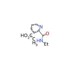 CC(=O)O.CCNC(=O)c1ccccn1